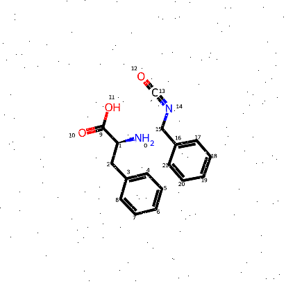 N[C@@H](Cc1ccccc1)C(=O)O.O=C=NCc1ccccc1